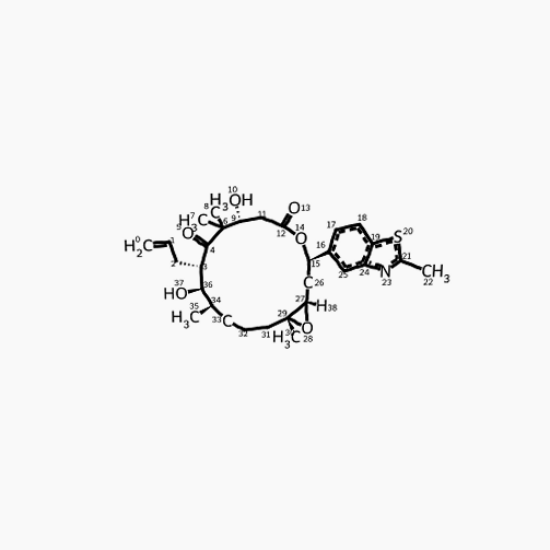 C=CC[C@@H]1C(=O)C(C)(C)[C@H](O)CC(=O)O[C@@H](c2ccc3sc(C)nc3c2)C[C@@H]2O[C@]2(C)CCC[C@@H](C)[C@H]1O